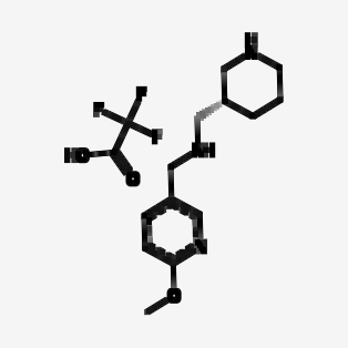 COc1ccc(CNC[C@H]2CCCNC2)cn1.O=C(O)C(F)(F)F